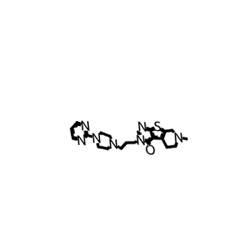 CN1CCc2c(sc3ncn(CCCN4CCN(c5ncccn5)CC4)c(=O)c23)C1